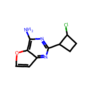 Nc1nc(C2CCC2Cl)nc2ccoc12